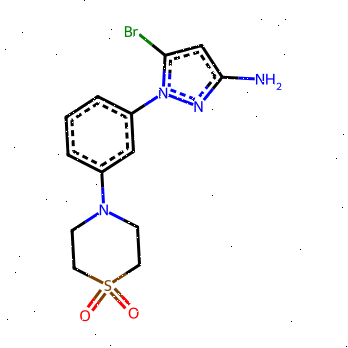 Nc1cc(Br)n(-c2cccc(N3CCS(=O)(=O)CC3)c2)n1